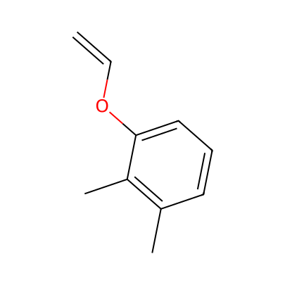 C=COc1cccc(C)c1C